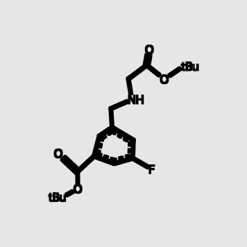 CC(C)(C)OC(=O)CNCc1cc(F)cc(C(=O)OC(C)(C)C)c1